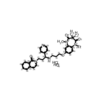 CCN1C(=O)C(C)(C)C(=O)N(C)c2cc(OCCCNC(CCn3ccc4ccccc4c3=O)c3ccncc3)ccc21.Cl.Cl